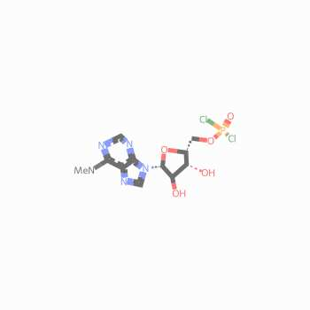 CNc1ncnc2c1ncn2[C@@H]1O[C@H](COP(=O)(Cl)Cl)[C@H](O)C1O